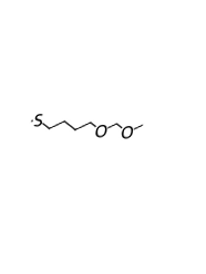 COCOCCCC[S]